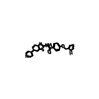 O=C(Nc1nc2ccc(-c3ccncc3)cc2s1)c1ccc(OCc2cnc[nH]2)cc1